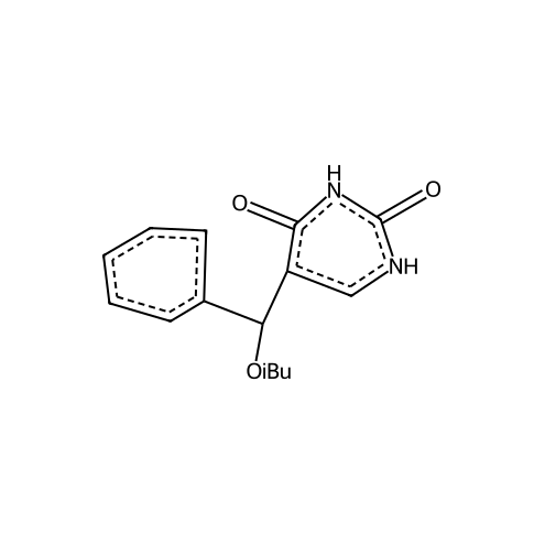 CC(C)COC(c1ccccc1)c1c[nH]c(=O)[nH]c1=O